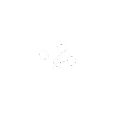 Cc1cccc2c3ccccc3c3c(-c4ccccc4)c[n+](C)n3c12